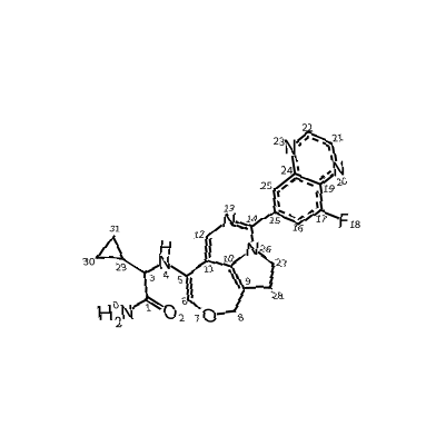 NC(=O)C(NC1=COCC2=C3C1=CN=C(c1cc(F)c4nccnc4c1)N3CC2)C1CC1